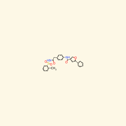 Cc1ccccc1S(=O)(=O)NC(=O)Cc1ccc(NC(=O)c2coc(-c3ccccc3)c2)cc1